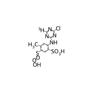 [3H]c1nc(Cl)nc(Nc2cc(C)c(SOOO)cc2S(=O)(=O)O)n1